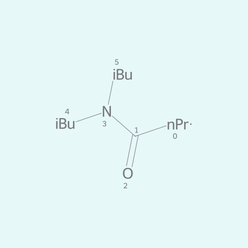 CC[CH]C(=O)N(C(C)CC)C(C)CC